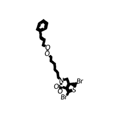 O=S1(=O)c2c(Br)sc(Br)c2CN1CCCCCCOOC/C=C/c1ccccc1